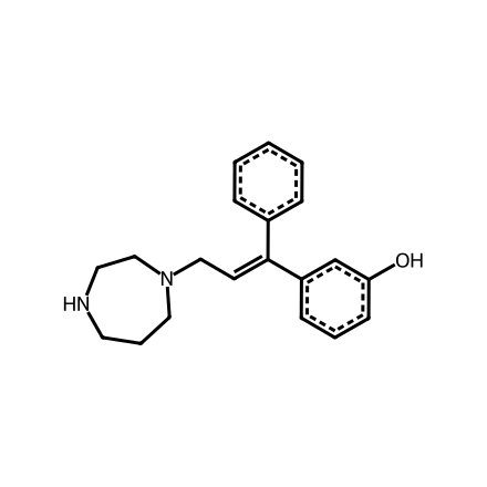 Oc1cccc(/C(=C/CN2CCCNCC2)c2ccccc2)c1